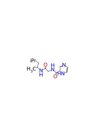 CC(C)CC(C)NC(=O)CNC(=O)C1C=NC=CN1